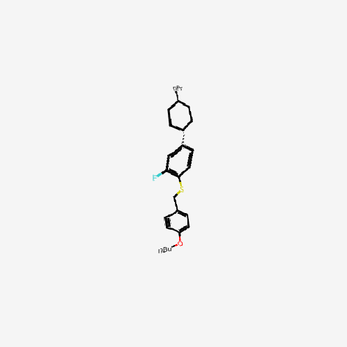 CCCCOc1ccc(CSc2ccc([C@H]3CC[C@H](CCC)CC3)cc2F)cc1